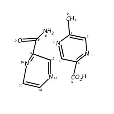 Cc1cnc(C(=O)O)cn1.NC(=O)c1cnccn1